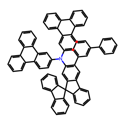 c1ccc(-c2cccc(-c3cc4c(cc3N(c3ccc5c6ccccc6c6ccccc6c5c3)c3ccc5c6ccccc6c6ccccc6c5c3)C3(c5ccccc5-c5ccccc53)c3ccccc3-4)c2)cc1